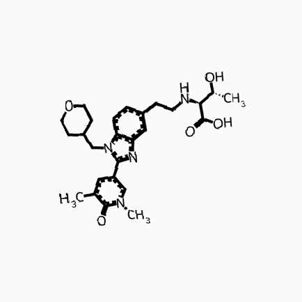 Cc1cc(-c2nc3cc(CCN[C@H](C(=O)O)[C@@H](C)O)ccc3n2CC2CCOCC2)cn(C)c1=O